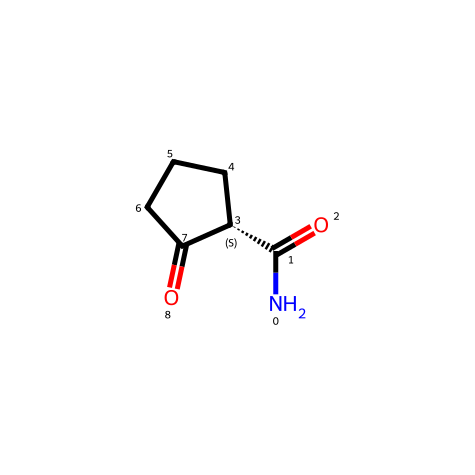 NC(=O)[C@H]1CCCC1=O